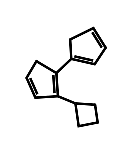 C1=CCC(C2=C(C3CCC3)C=CC2)=C1